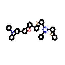 c1ccc(-c2nc(-c3cccc4c3sc3ccccc34)nc(-c3cccc4sc5c(-c6cccc7c6oc6ccc(-c8ccc9c(c8)c8ccccc8n9-c8ccccc8)cc67)cccc5c34)n2)cc1